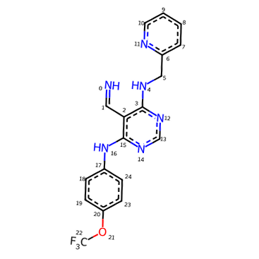 N=Cc1c(NCc2ccccn2)ncnc1Nc1ccc(OC(F)(F)F)cc1